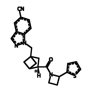 N#Cc1ccc2c(cnn2CC23CC(C2)[C@@H](C(=O)N2CCC2c2cccs2)C3)c1